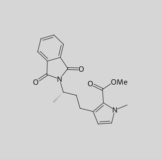 COC(=O)c1c(CC[C@H](C)N2C(=O)c3ccccc3C2=O)ccn1C